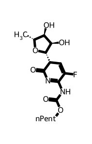 CCCCCOC(=O)NC1=NC(=O)C([C@@H]2O[C@H](C)[C@@H](O)[C@H]2O)C=C1F